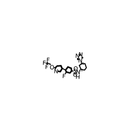 O=S(=O)(N[C@H]1CCC[C@@H](n2cnnc2)C1)c1ccc(-c2ccc(OCC(F)(F)F)nc2)c(F)c1